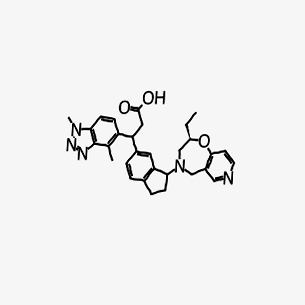 CC[C@@H]1CN(C2CCc3ccc(C(CC(=O)O)c4ccc5c(nnn5C)c4C)cc32)Cc2cnccc2O1